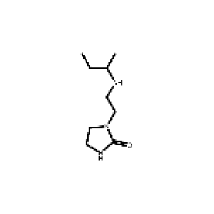 CCC(C)NCCN1CCNC1=O